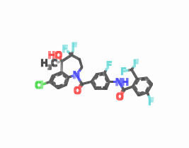 C[C@@]1(O)c2cc(Cl)ccc2N(C(=O)c2ccc(NC(=O)c3cc(F)ccc3C(F)F)c(F)c2)CCC1(F)F